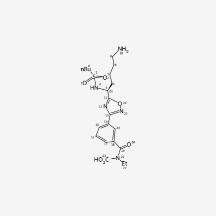 CCCCS(=O)(=O)N[C@@H](CCCCN)c1nc(-c2cccc(C(=O)N(CC)C(=O)O)c2)no1